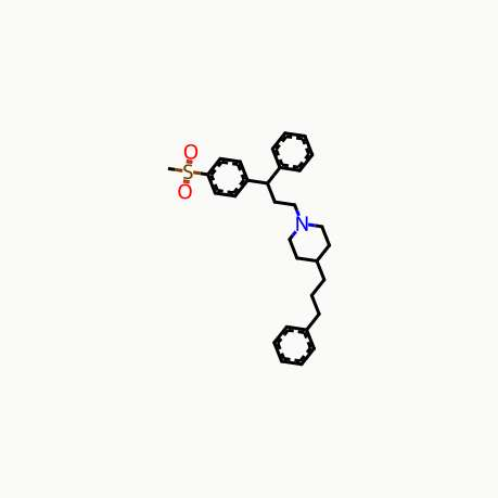 CS(=O)(=O)c1ccc(C(CCN2CCC(CCCc3ccccc3)CC2)c2ccccc2)cc1